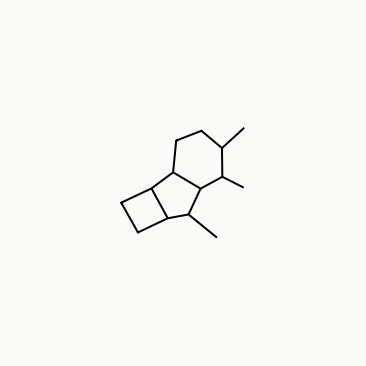 CC1CCC2C3CCC3C(C)C2C1C